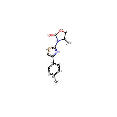 CC(C)C1COC(=O)N1c1nc(-c2ccc(C#N)cc2)cs1